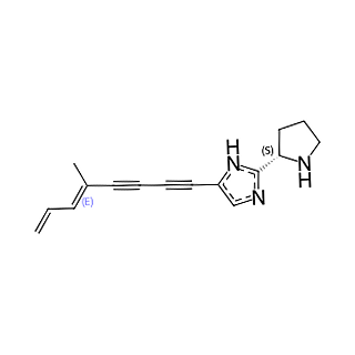 C=C/C=C(\C)C#CC#Cc1cnc([C@@H]2CCCN2)[nH]1